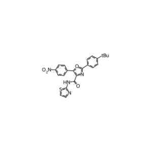 CC(C)(C)c1ccc(-c2nc(C(=O)Nc3nccs3)c(-c3ccc([N+](=O)[O-])cc3)o2)cc1